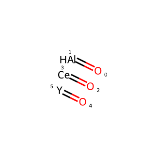 [O]=[AlH].[O]=[Ce].[O]=[Y]